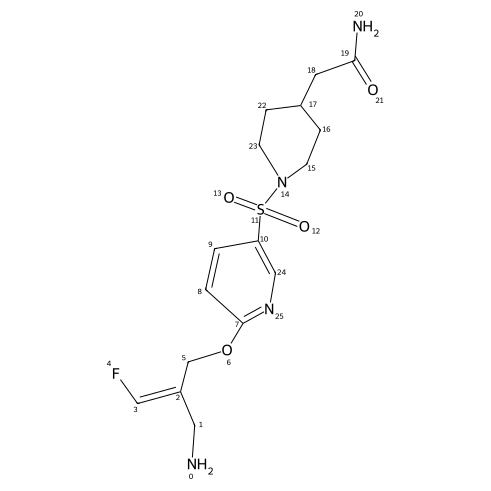 NC/C(=C/F)COc1ccc(S(=O)(=O)N2CCC(CC(N)=O)CC2)cn1